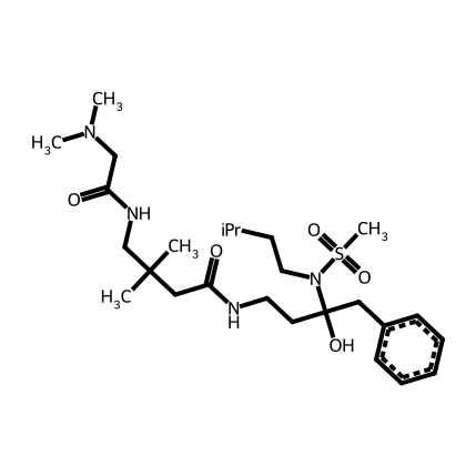 CC(C)CCN(C(O)(CCNC(=O)CC(C)(C)CNC(=O)CN(C)C)Cc1ccccc1)S(C)(=O)=O